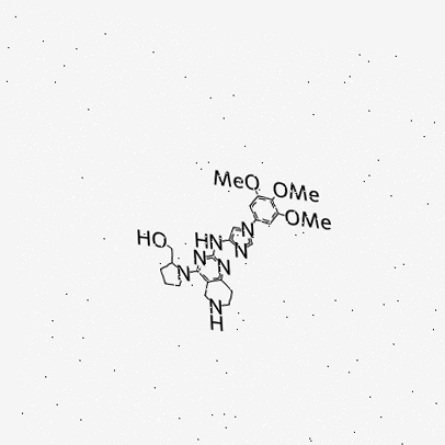 COc1cc(-n2cnc(Nc3nc4c(c(N5CCCC5CO)n3)CNCC4)c2)cc(OC)c1OC